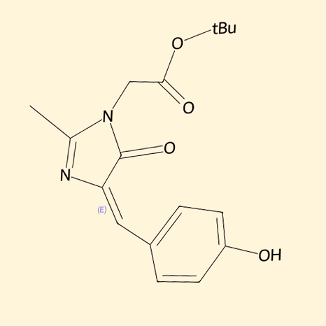 CC1=N/C(=C/c2ccc(O)cc2)C(=O)N1CC(=O)OC(C)(C)C